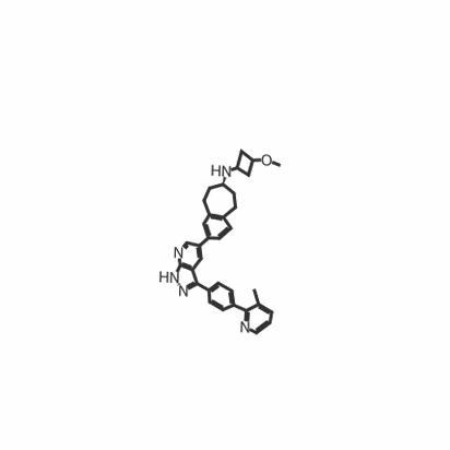 COC1CC(N[C@H]2CCc3ccc(-c4cnc5[nH]nc(-c6ccc(-c7ncccc7C)cc6)c5c4)cc3CC2)C1